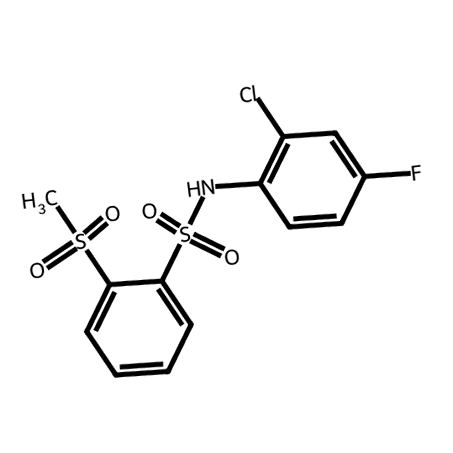 CS(=O)(=O)c1ccccc1S(=O)(=O)Nc1ccc(F)cc1Cl